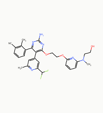 Cc1cc(-c2c(OCCOc3cccc(N(C)CCO)n3)nc(N)nc2-c2cccc(C#N)c2C)cc(C(F)F)n1